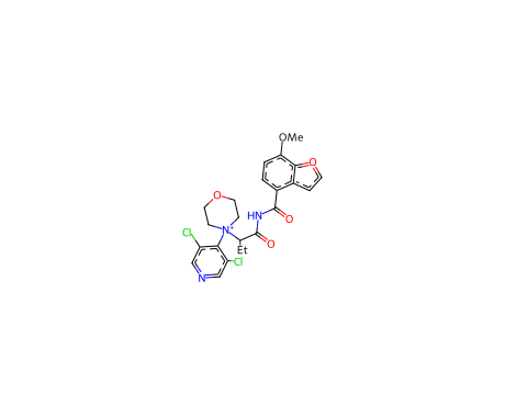 CCC(C(=O)NC(=O)c1ccc(OC)c2occc12)[N+]1(c2c(Cl)cncc2Cl)CCOCC1